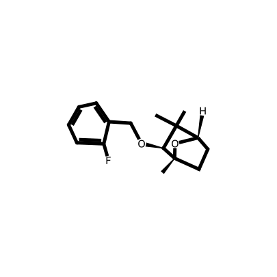 CC1(C)[C@@H]2CC[C@@](C)(O2)[C@H]1OCc1ccccc1F